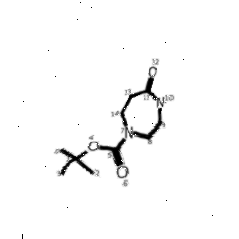 CC(C)(C)OC(=O)N1CC[N]C(=O)CC1